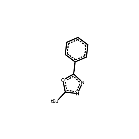 CC(C)(C)c1nnc(-c2cc[c]cc2)o1